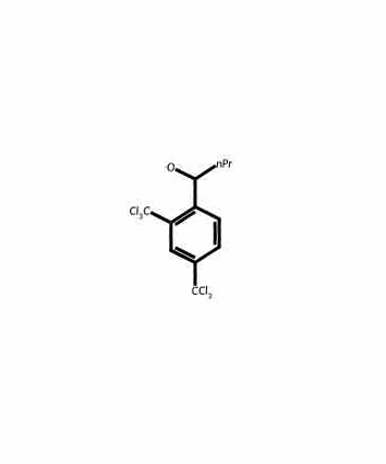 CCCC([O])c1ccc(C(Cl)(Cl)Cl)cc1C(Cl)(Cl)Cl